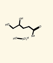 O=S(=O)(O)O.O=[C]([Na])CCC(O)CO